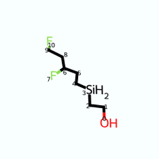 OCC[SiH2]CCC(F)CCF